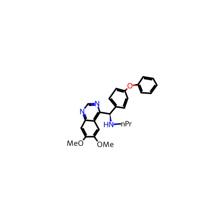 CCCN[C@H](c1ccc(Oc2ccccc2)cc1)c1ncnc2cc(OC)c(OC)cc12